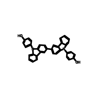 Oc1ccc(-n2c3ccccc3c3cc(-c4ccc5c(c4)c4ccccc4n5-c4ccc(O)cc4)ccc32)cc1